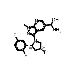 Cn1nc(N2C[C@@H](F)C[C@@H]2c2cc(F)ccc2F)c2cc(C(N)O)cnc21